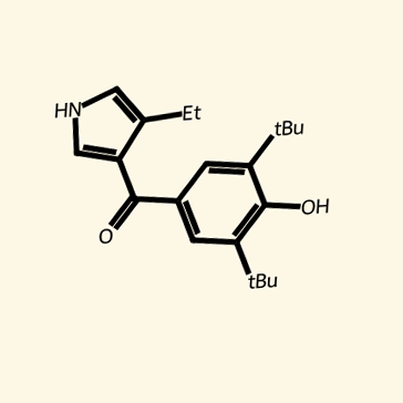 CCc1c[nH]cc1C(=O)c1cc(C(C)(C)C)c(O)c(C(C)(C)C)c1